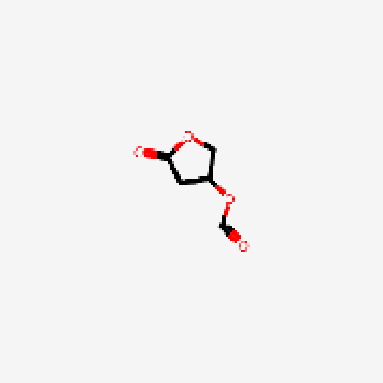 O=[C]OC1COC(=O)C1